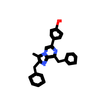 Cc1c(Cc2ccccc2)nc2c(Cc3ccccc3)nc(-c3ccc(O)cc3)cn12